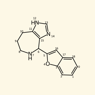 c1ccc2oc(C3NCCCc4[nH]cnc43)cc2c1